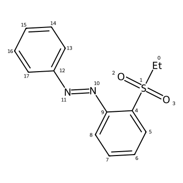 CCS(=O)(=O)c1ccccc1N=Nc1ccccc1